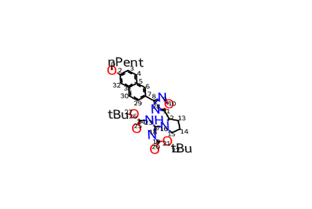 CCCCCOc1ccc2cc(-c3noc(C4CCCN4C(=NC(=O)OC(C)(C)C)NC(=O)OC(C)(C)C)n3)ccc2c1